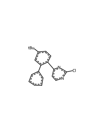 CC(C)(C)c1ccc(-c2ccnc(Cl)n2)c(-c2ccccc2)c1